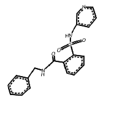 O=C(NCc1ccccc1)c1ccccc1S(=O)(=O)Nc1cccnc1